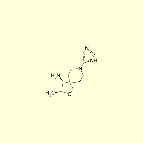 C[C@@H]1OCC2(CCN(c3cnc[nH]3)CC2)[C@@H]1N